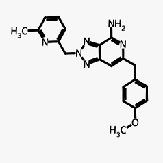 COc1ccc(Cc2cc3nn(Cc4cccc(C)n4)nc3c(N)n2)cc1